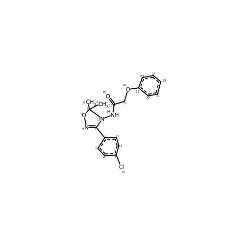 CC1(C)ON=C(c2ccc(Cl)cc2)N1NC(=O)COc1ccccc1